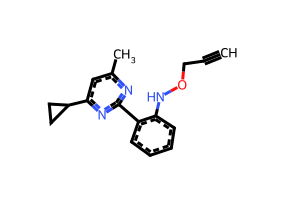 C#CCONc1ccccc1-c1nc(C)cc(C2CC2)n1